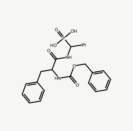 CC(C)C(NC(=O)C(Cc1ccccc1)NC(=O)OCc1ccccc1)P(=O)(O)O